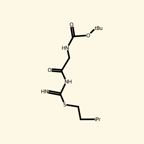 CC(C)CCSC(=N)NC(=O)CNC(=O)OC(C)(C)C